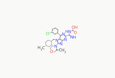 C[C@@H]1COCCN1c1nc2nc(C(=N)NC(=O)O)nc(-c3cccc(Cl)c3)c2n1C[C@H]1CC[C@H](C)CC1